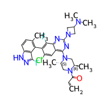 C=CC(=O)N1C[C@H](C)N(c2nc(N3CC(N(C)C)C3)nc3c(F)c(-c4c(C)ccc5[nH]nc(F)c45)c(Cl)cc23)C[C@H]1C